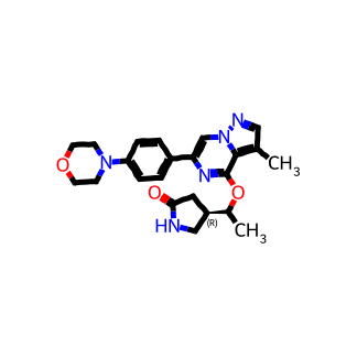 Cc1cnn2cc(-c3ccc(N4CCOCC4)cc3)nc(OC(C)[C@H]3CNC(=O)C3)c12